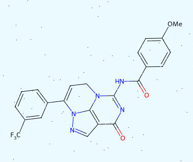 COc1ccc(C(=O)Nc2nc(=O)c3cnn4c3n2CC=C4c2cccc(C(F)(F)F)c2)cc1